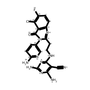 N#Cc1c(N)nc(N)nc1NCCc1nc2ccc(F)c(Cl)c2c(=O)n1-c1ccc(N)nc1